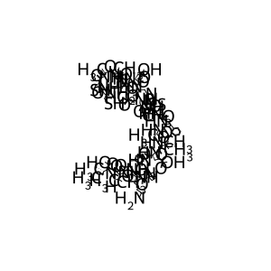 CC[C@H](C)[C@H](NC(=O)[C@@H](NC(=O)[C@H](Cc1ccccc1)NC(=O)[C@H](CCCCN)NC(=O)[C@@H]1CCCN1C(=O)CNC(=O)[C@H](CCC(=O)O)NC(=O)[C@@H](NC(=O)[C@H](C)NC(=O)[C@H](Cc1ccccc1)NC(=O)[C@H](CS)NC(=O)[C@H](C)NC(=O)[C@H](CCC(=O)O)NC(=O)[C@H](Cc1c[nH]cn1)NC(=O)[C@H](CC(=O)O)NC(=O)[C@@H]1CCCN1C(=O)[C@H](C)NC(=O)[C@H](C)NC(=O)[C@H](CS)NC(=O)[C@@H](N)CS)C(C)C)C(C)C)C(=O)O